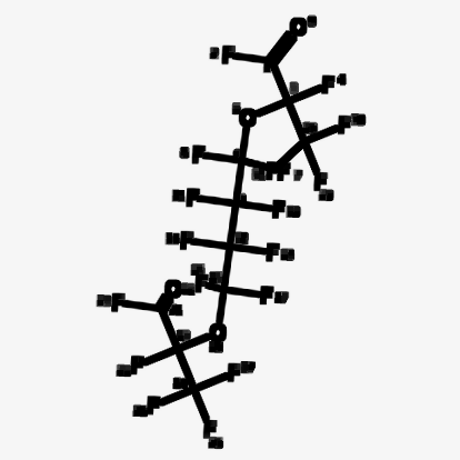 O=C(F)C(F)(OC(F)(F)C(F)(F)C(F)(F)C(F)(F)OC(F)(C(=O)F)C(F)(F)F)C(F)(F)F